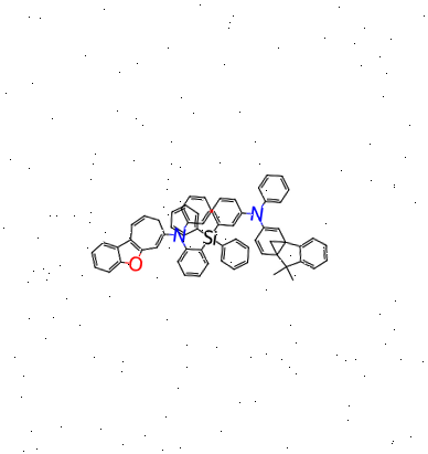 CC1(C)c2ccccc2C23C=C(N(c4ccccc4)c4cccc([Si](c5ccccc5)(c5ccccc5)c5ccccc5N(C5=Cc6oc7ccccc7c6C=CC5)c5ccccc5)c4)C=CC12C3